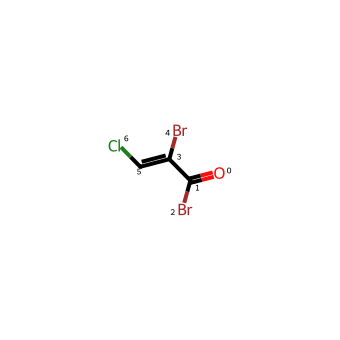 O=C(Br)C(Br)=CCl